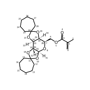 C=C(C)C(=O)OC[C@H]1O[C@H]2OC3(CCCCCC3)O[C@@H]2[C@H]2OC3(CCCCCC3)O[C@H]21